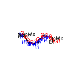 C=C1C[C@@H]2C=Nc3cc(OCCCC(=O)Nc4cc(C(=O)Nc5cc(C(=O)Nc6cc(C(=O)NCCCOC(=O)[C@H](C)NC(=O)CCNC(=O)OCC(OC)OC(CC)CO)n(C)c6)n(C)c5)n(C)c4)c(OC)cc3C(=O)N2C1